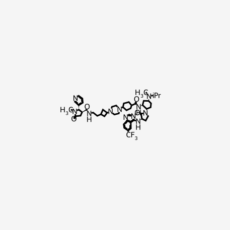 CC(C)N(C)[C@@H]1CC[C@H](N2CC[C@H](Nc3ncnc4ccc(C(F)(F)F)cc34)C2=O)[C@H](NC(=O)C2CCC(N3CCN(C4CC(CCNC(=O)[C@H]5CC(=O)N(C)[C@@H]5c5cccnc5)C4)CC3)CC2)C1